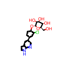 OC[C@H]1O[C@H](Oc2ccc(-c3cnc4[nH]ccc4c3)cc2Cl)[C@@H](O)[C@@H](O)[C@@H]1O